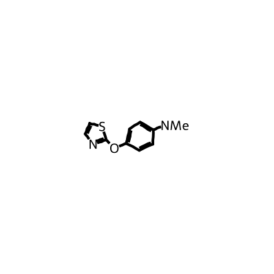 CNc1ccc(Oc2nccs2)cc1